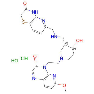 COc1ccc2ncc(=O)n(CCN3CC[C@@H](O)[C@@H](CNCc4ccc5c(n4)NC(=O)CS5)C3)c2n1.Cl.Cl